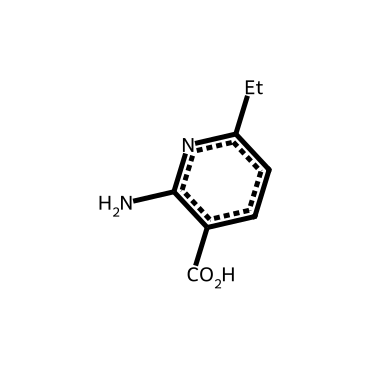 CCc1ccc(C(=O)O)c(N)n1